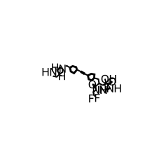 O=C(NCC(F)F)C(Cc1ccc(C#Cc2ccc(CN3C[C@@H]4CCN[C@@H]4C3)cc2)cc1)c1nc[nH]c(=O)c1O